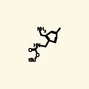 Cc1ccc(CNC(=O)OC(C)(C)C)c(CN)c1